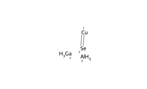 [AlH3].[Cu]=[Se].[GaH3]